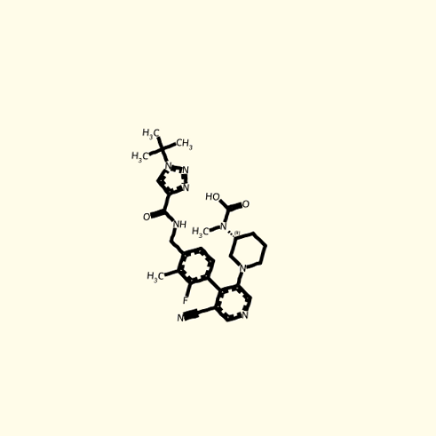 Cc1c(CNC(=O)c2cn(C(C)(C)C)nn2)ccc(-c2c(C#N)cncc2N2CCC[C@@H](N(C)C(=O)O)C2)c1F